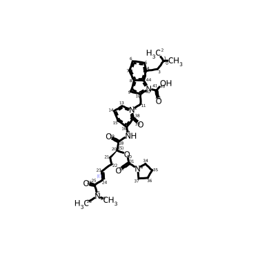 CC(C)Cc1cccc2cc(Cn3cccc(NC(=O)[C@H](CC/C=C/C(=O)N(C)C)OC(=O)N4CCCC4)c3=O)n(C(=O)O)c12